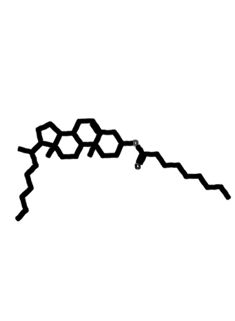 CCCCCCCCC(=O)OC1CCC2(C)C(=CCC3C2CCC2(C)C(C(C)CCCCCC)CCC32)C1